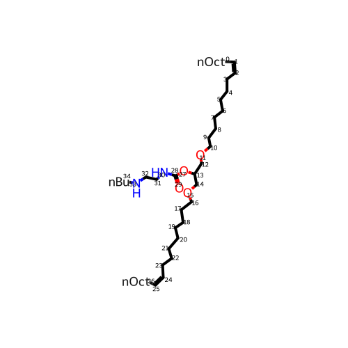 CCCCCCCC/C=C\CCCCCCCCOCC(COCCCCCCCC/C=C\CCCCCCCC)OC(=O)NCCNCCCC